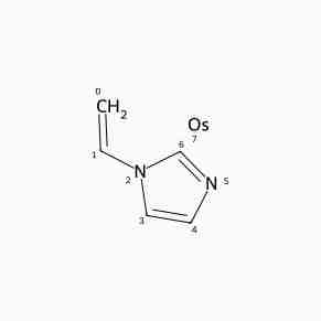 C=Cn1ccnc1.[Os]